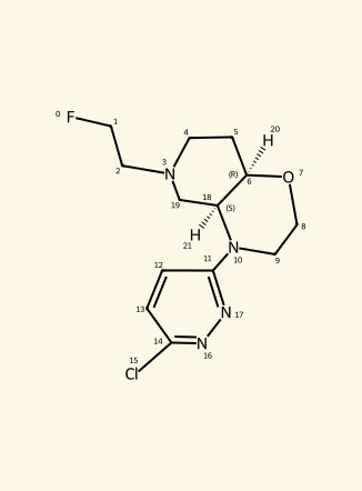 FCCN1CC[C@H]2OCCN(c3ccc(Cl)nn3)[C@H]2C1